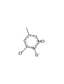 Cc1cc[n+]([O-])c(Cl)c1.Cl